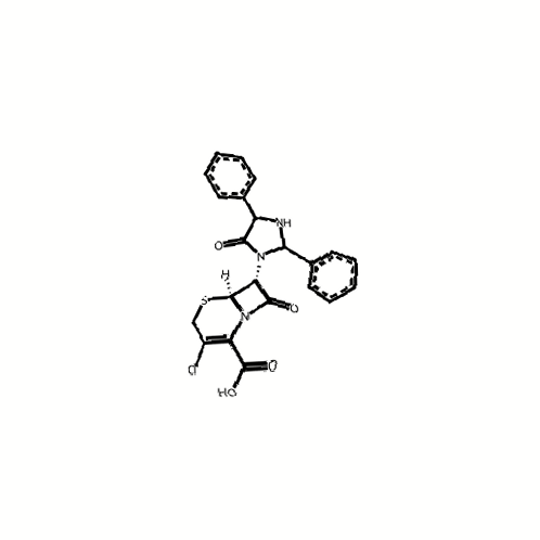 O=C(O)C1=C(Cl)CS[C@H]2[C@H](N3C(=O)C(c4ccccc4)NC3c3ccccc3)C(=O)N12